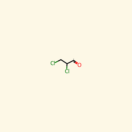 O=[C]C(Cl)CCl